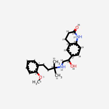 COc1ccccc1CCC(C)(C)NCC(O)c1ccc2c(c1)CCC(=O)N2